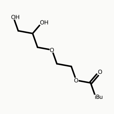 CCC(C)C(=O)OCCOCC(O)CO